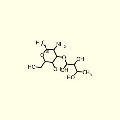 CC(O)C(O)C(O)OC1C(O)C(CO)O[C@@H](C)C1N